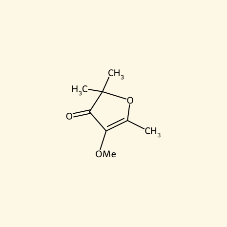 COC1=C(C)OC(C)(C)C1=O